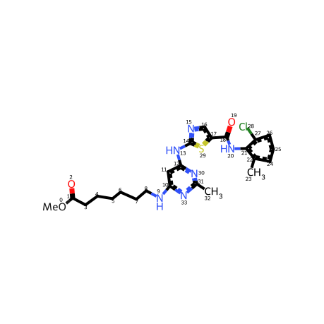 COC(=O)CCCCCCNc1cc(Nc2ncc(C(=O)Nc3c(C)cccc3Cl)s2)nc(C)n1